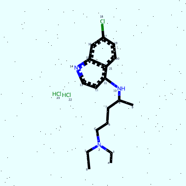 CCN(CC)CCCC(C)Nc1ccnc2cc(Cl)ccc12.Cl.Cl